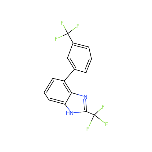 FC(F)(F)c1cccc(-c2cccc3[nH]c(C(F)(F)F)nc23)c1